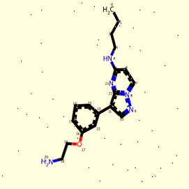 CCCCNc1ccn2ncc(-c3cccc(OCCN)c3)c2n1